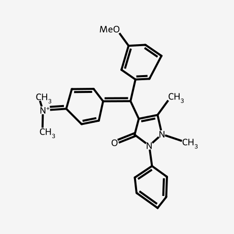 COc1cccc(C(=C2C=CC(=[N+](C)C)C=C2)c2c(C)n(C)n(-c3ccccc3)c2=O)c1